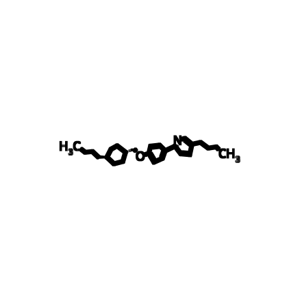 CCCCc1ccc(-c2ccc(OC[C@H]3CC[C@H](CCCC)CC3)cc2)nc1